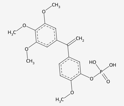 C=C(c1ccc(OC)c(OP(=O)(O)O)c1)c1cc(OC)c(OC)c(OC)c1